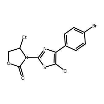 CCC1COC(=O)N1c1nc(-c2ccc(Br)cc2)c(Cl)s1